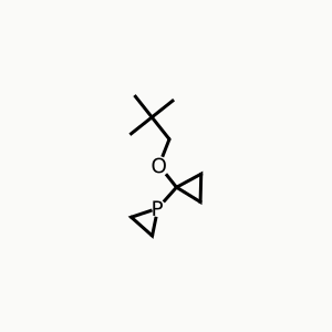 CC(C)(C)COC1(P2CC2)CC1